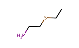 CCSCCP